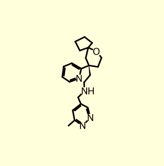 Cc1cc(CNCC[C@]2(c3ccccn3)CCOC3(CCCC3)C2)cnn1